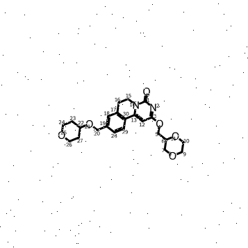 O=c1nc(OCC2COCCO2)cc2n1CCc1cc(COC3CCOCC3)ccc1-2